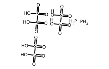 O=S(=O)(O)S(=O)(=O)O.O=S(=O)(O)S(=O)(=O)O.O=S(=O)(O)S(=O)(=O)O.P.P